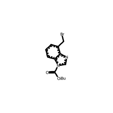 CC(C)COC(=O)n1cnc2c(CBr)cccc21